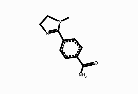 CN1CCN=C1c1c[c]c(C(N)=O)cc1